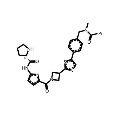 CC(C)C(=O)N(C)Cc1ccc(-c2cnc(C3CN(C(=O)c4ccc(NC(=O)[C@@H]5CCCN5)s4)C3)s2)cc1